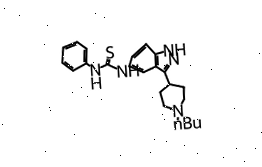 CCCCN1CCC(c2n[nH]c3ccc(NC(=S)Nc4ccccc4)cc23)CC1